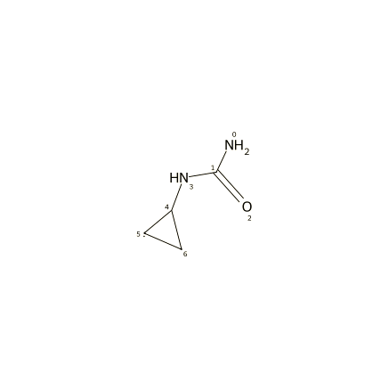 NC(=O)NC1[CH]C1